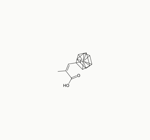 CC(=C[C]12[CH]3[CH]4[CH]5[CH]1[Fe]45321678[CH]2[CH]1[CH]6[CH]7[CH]28)C(=O)O